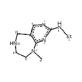 CCNc1ncc2c(n1)N(C)CCNC2